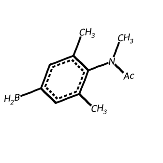 Bc1cc(C)c(N(C)C(C)=O)c(C)c1